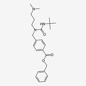 CN(C)CCCN(Cc1ccc(C(=O)OCc2ccccc2)cc1)C(=O)NC(C)(C)C